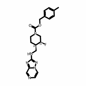 Cc1ccc(COC(=O)N2CC[C@H](CNc3nc4cnccn4n3)[C@H](F)C2)cc1